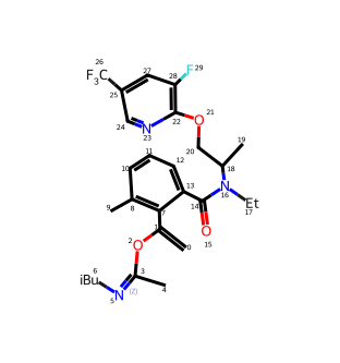 C=C(O/C(C)=N\C(C)CC)c1c(C)cccc1C(=O)N(CC)C(C)COc1ncc(C(F)(F)F)cc1F